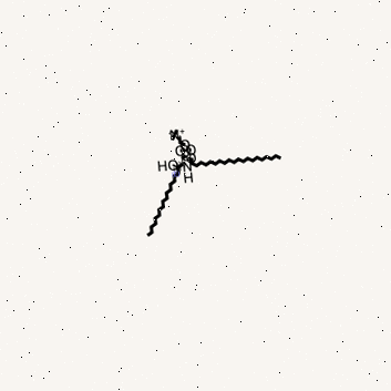 CCCCCCCCCCCCCC/C=C/[C@@H](O)[C@H](COP(=O)([O-])OCC[N+](C)(C)C)NC(=O)CCCCCCCCCCCCCCCCCCC